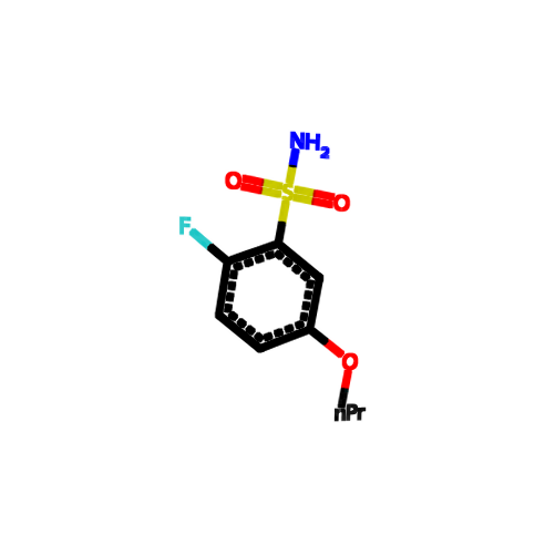 CCCOc1ccc(F)c(S(N)(=O)=O)c1